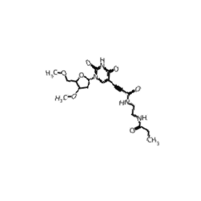 CCC(=O)NCCNC(=O)C#Cc1cn([C@H]2C[C@@H](OC)C(COC)O2)c(=O)[nH]c1=O